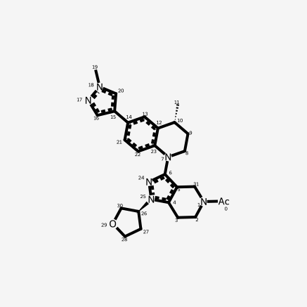 CC(=O)N1CCc2c(c(N3CC[C@@H](C)c4cc(-c5cnn(C)c5)ccc43)nn2[C@H]2CCOC2)C1